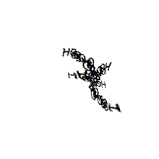 O=S(=O)(O)CNc1ccc2c(O)c(/N=N/c3cccc(S(=O)(=O)CCOSOOO)c3)c(SOOO)cc2c1/N=N/c1ccc(S(=O)(=O)CCOSOOO)cc1S(=O)(=O)O